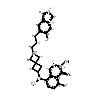 CN(c1ccc(Cl)c2c(=O)n(C)ncc12)C1CC2(C1)CN(CCCc1cc3nncn3cc1F)C2